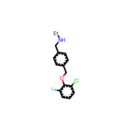 CCNCc1ccc(COc2c(F)cccc2Cl)cc1